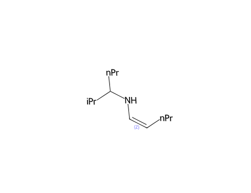 CCC/C=C\NC(CCC)C(C)C